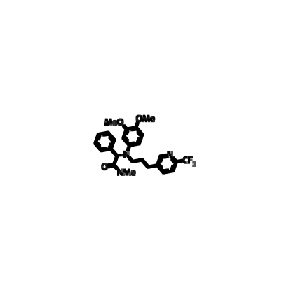 CNC(=O)[C@H](c1ccccc1)N(CCCc1ccc(C(F)(F)F)nc1)c1ccc(OC)c(OC)c1